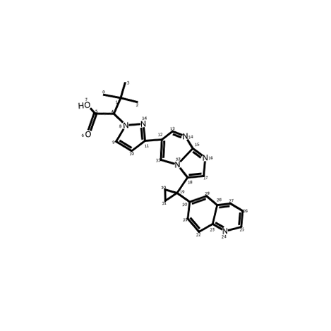 CC(C)(C)C(C(=O)O)n1ccc(-c2cnc3ncc(C4(c5ccc6ncccc6c5)CC4)n3c2)n1